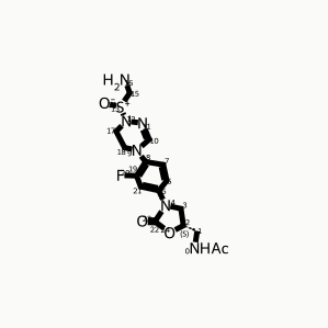 CC(=O)NC[C@H]1CN(c2ccc(N3C=NN([S+]([O-])CN)CC3)c(F)c2)C(=O)O1